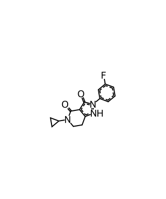 O=C1c2c([nH]n(-c3cccc(F)c3)c2=O)CCN1C1CC1